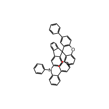 c1ccc(-c2ccc3c(c2)C2(c4ccccc4O3)c3ccccc3-c3cc(N(c4ccccc4)c4ccccc4-c4ccccc4)ccc32)cc1